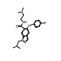 CC(C)Cn1ncc2cc(Oc3ccc(F)cc3)c(C(=O)NCCN(C)C)cc21